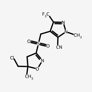 Cn1nc(C(F)(F)F)c(CS(=O)(=O)C2=NOC(C)(CCl)C2)c1C#N